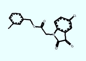 Cc1cccc(COC(=O)CN2C(=O)C(=O)c3cc(Cl)ccc32)c1